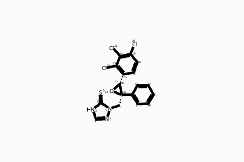 S=c1[nH]cnn1C[C@]1(c2ccccc2)O[C@@H]1c1ccc(Cl)c(Cl)c1Cl